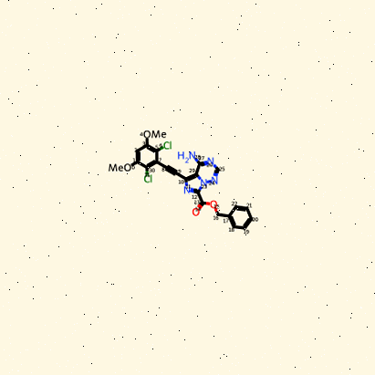 COc1cc(OC)c(Cl)c(C#Cc2nc(C(=O)OCc3ccccc3)n3ncnc(N)c23)c1Cl